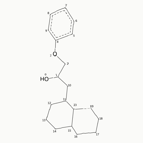 OC(COc1ccccc1)CC1CCCC2CCCCC21